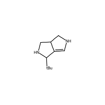 CC(C)(C)C1NCC2CNC=C21